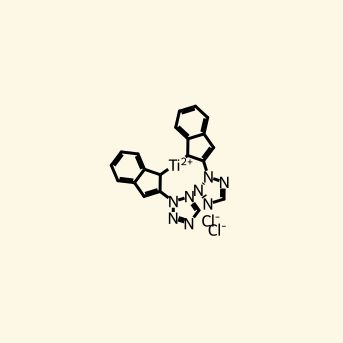 C1=C(n2ncnn2)[CH]([Ti+2][CH]2C(n3ncnn3)=Cc3ccccc32)c2ccccc21.[Cl-].[Cl-]